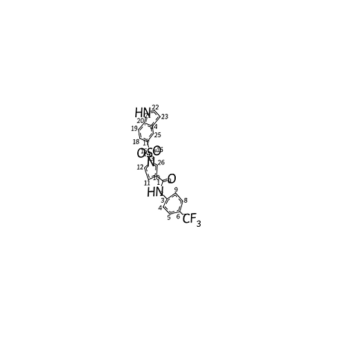 O=C(Nc1ccc(C(F)(F)F)cc1)c1ccn(S(=O)(=O)c2ccc3[nH]ccc3c2)c1